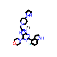 CCn1c(CN2CCC(n3cccn3)CC2)nc2c(N3CCOCC3)nc(-c3c(F)ccc4[nH]ccc34)nc21